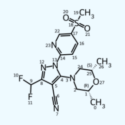 C[C@@H]1CN(c2c(C#N)c(C(F)F)nn2-c2ccc(S(C)(=O)=O)cn2)C[C@H](C)O1